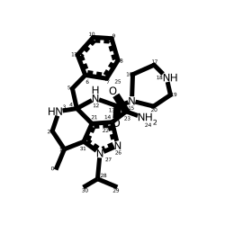 CC1CNC(Cc2ccccc2)(NC(=O)N2CCNCC2)c2c(C(N)=O)nn(C(C)C)c21